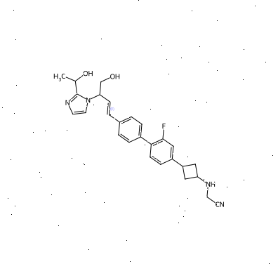 CC(O)c1nccn1C(/C=C/c1ccc(-c2ccc(C3CC(NCC#N)C3)cc2F)cc1)CO